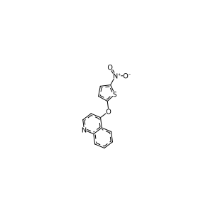 O=[N+]([O-])c1ccc(Oc2ccnc3ccccc23)s1